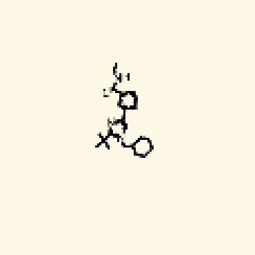 CCNC(=O)c1cccc(-c2cn(CC3CCCCC3)c(C(C)(C)C)n2)c1